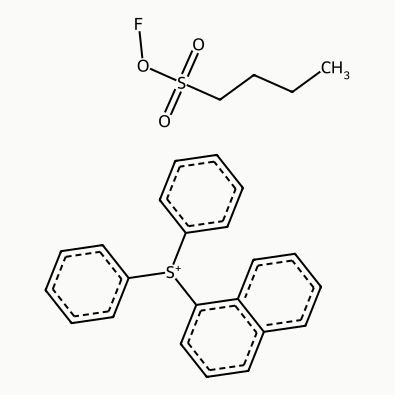 CCCCS(=O)(=O)OF.c1ccc([S+](c2ccccc2)c2cccc3ccccc23)cc1